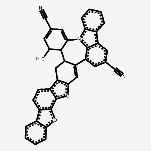 CC1C=C(C#N)C=C2C1C1Cc3c(oc4c3ccc3c5ccccc5oc34)C=C1c1cc(C#N)cc3c4ccccc4n2c13